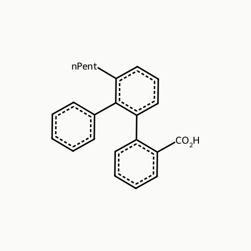 CCCCCc1cccc(-c2ccccc2C(=O)O)c1-c1ccccc1